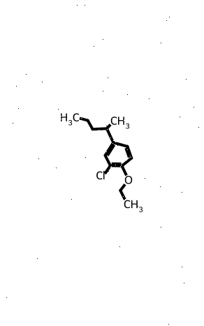 CCC[C](C)c1ccc(OCC)c(Cl)c1